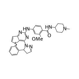 COc1cc(Nc2nc(N3N=CCC3c3ccccc3)c3sccc3n2)ccc1C(=O)NC1CCN(C)CC1